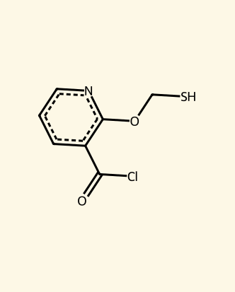 O=C(Cl)c1cccnc1OCS